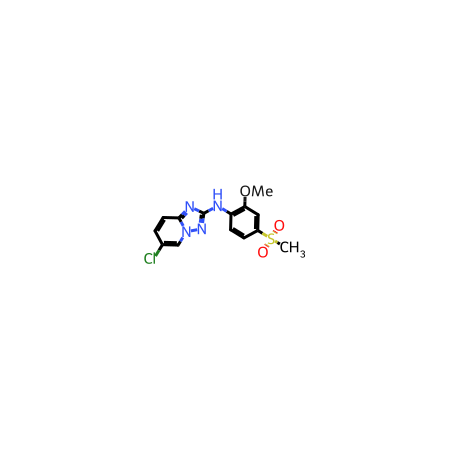 COc1cc(S(C)(=O)=O)ccc1Nc1nc2ccc(Cl)cn2n1